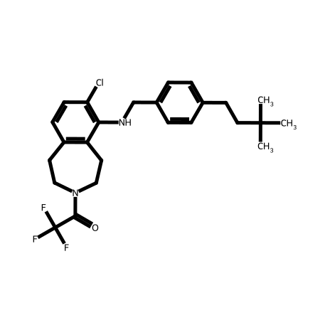 CC(C)(C)CCc1ccc(CNc2c(Cl)ccc3c2CCN(C(=O)C(F)(F)F)CC3)cc1